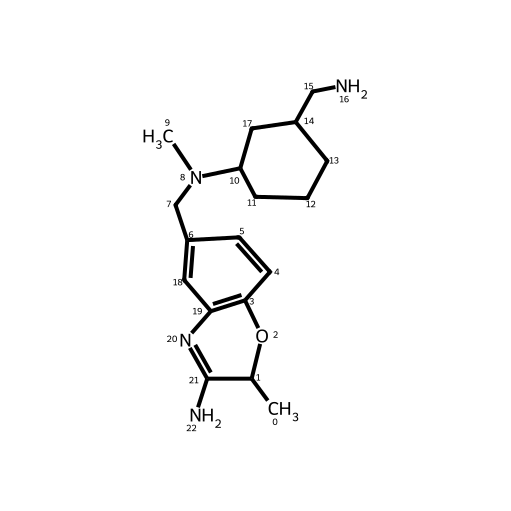 CC1Oc2ccc(CN(C)C3CCCC(CN)C3)cc2N=C1N